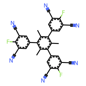 Cc1c(-c2cc(C#N)c(F)c(C#N)c2)c(C)c(-c2cc(C#N)c(F)c(C#N)c2)c(C)c1-c1cc(C#N)c(F)c(C#N)c1